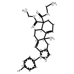 CCOC(=O)C1(C(=O)OCC)CCC=C2C1CCC1=Cc3c(cnn3-c3ccc(F)cc3)CC12C